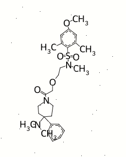 COc1cc(C)c(S(=O)(=O)N(C)CCOCC(=O)N2CCC(c3ccccc3)(N(C)C)CC2)c(C)c1